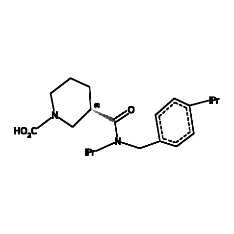 CC(C)c1ccc(CN(C(=O)[C@H]2CCCN(C(=O)O)C2)C(C)C)cc1